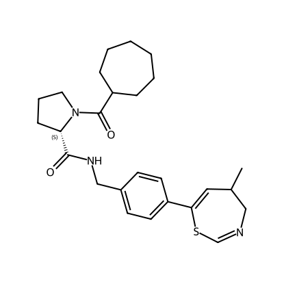 CC1C=C(c2ccc(CNC(=O)[C@@H]3CCCN3C(=O)C3CCCCCC3)cc2)SC=NC1